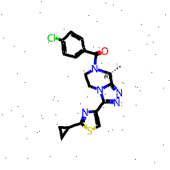 C[C@@H]1c2nnc(-c3csc(C4CC4)n3)n2CCN1C(=O)c1ccc(Cl)cc1